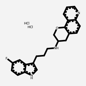 Cl.Cl.Fc1ccc2[nH]cc(CCCNC3COc4c(ccc5ncccc45)C3)c2c1